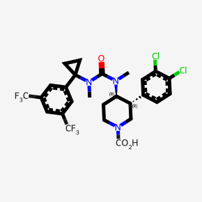 CN(C(=O)N(C)C1(c2cc(C(F)(F)F)cc(C(F)(F)F)c2)CC1)[C@@H]1CCN(C(=O)O)C[C@H]1c1ccc(Cl)c(Cl)c1